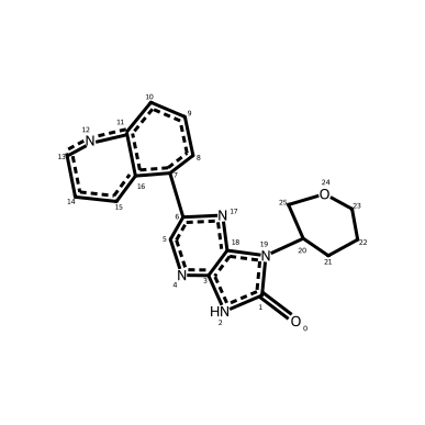 O=c1[nH]c2ncc(-c3cccc4ncccc34)nc2n1C1CCCOC1